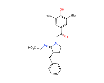 CC(C)(C)c1cc(C(=O)CN2CC[C@@H](Cc3ccccc3)/C2=N\CC(=O)O)cc(C(C)(C)C)c1O